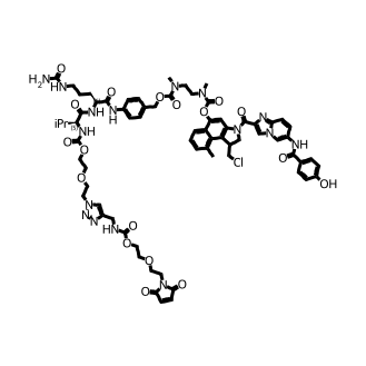 Cc1cccc2c(OC(=O)N(C)CCN(C)C(=O)OCc3ccc(NC(=O)[C@H](CCCNC(N)=O)NC(=O)[C@@H](NC(=O)OCCOCCn4cc(CNC(=O)OCCOCCN5C(=O)C=CC5=O)nn4)C(C)C)cc3)cc3c(c12)C(CCl)CN3C(=O)c1cn2cc(NC(=O)c3ccc(O)cc3)ccc2n1